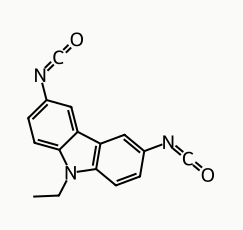 CCn1c2ccc(N=C=O)cc2c2cc(N=C=O)ccc21